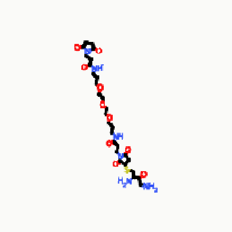 NCC(=O)[C@@H](N)CSC1CC(=O)N(CCC(=O)NCCCOCCOCCOCCCNC(=O)CCN2C(=O)C=CC2=O)C1=O